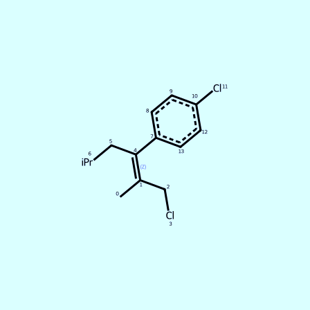 C/C(CCl)=C(\CC(C)C)c1ccc(Cl)cc1